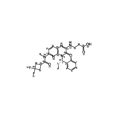 CC[C@@H](c1ccccc1)n1c(=O)c(NCCC(=O)O)nc2ccc(N(C)C(=O)C3CC(F)(F)C3)nc21